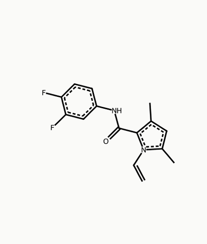 C=Cn1c(C)cc(C)c1C(=O)Nc1ccc(F)c(F)c1